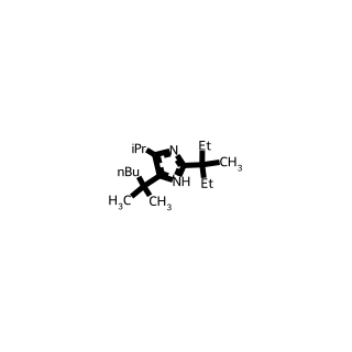 CCCCC(C)(C)c1[nH]c(C(C)(CC)CC)nc1C(C)C